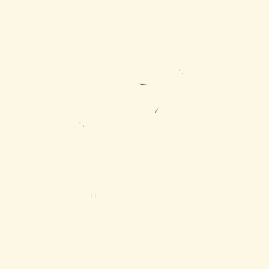 COc1ccc2nccc(CCC[C@@H]3CCNC[C@@H]3C(=O)O)c2c1